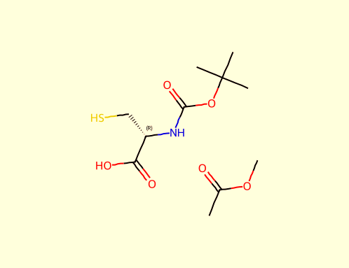 CC(C)(C)OC(=O)N[C@@H](CS)C(=O)O.COC(C)=O